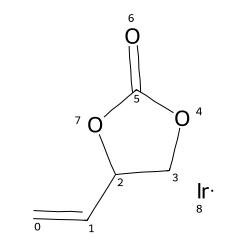 C=CC1COC(=O)O1.[Ir]